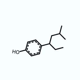 CCC(CC(C)C)c1ccc(O)cc1